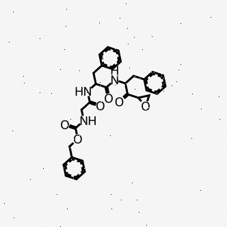 O=C(CNC(=O)OCc1ccccc1)NC(Cc1ccccc1)C(=O)NC(Cc1ccccc1)C(=O)C1CO1